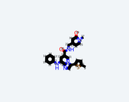 Cc1ccc(-c2cnc3c(Nc4ccccc4)cc(C(=O)NCc4ccn(C)c(=O)c4)cn23)s1